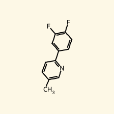 Cc1ccc(-c2ccc(F)c(F)c2)nc1